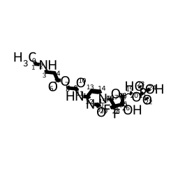 CCNCCC(=O)OCC(=O)Nc1ccn([C@@H]2O[C@H](COP(=O)(O)O)[C@@H](O)C2(F)F)c(=O)n1